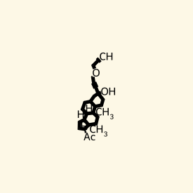 C#CCOCC#CC1(O)CC[C@@]2(C)C(CC[C@H]3[C@@H]4CC[C@H](C(C)=O)[C@@]4(C)CC[C@@H]32)C1